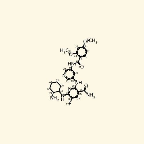 COc1ccc(C(=O)Nc2cncc(Nc3nc(NC4CCCC[C@@H]4N)c(F)cc3C(N)=O)c2)c(OC)c1